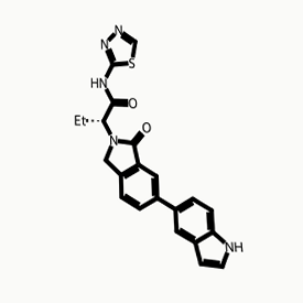 CC[C@H](C(=O)Nc1nncs1)N1Cc2ccc(-c3ccc4[nH]ccc4c3)cc2C1=O